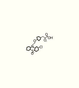 COC(Cc1ccc(OCCN2c3ccccc3[S+]([O-])c3ccc(Cl)cc32)cc1)C(=O)O